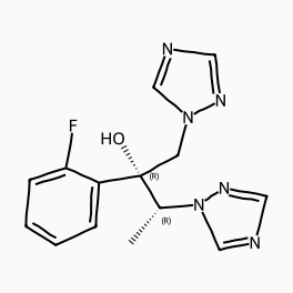 C[C@@H](n1cncn1)[C@](O)(Cn1cncn1)c1ccccc1F